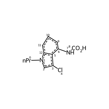 CCCn1cc(Cl)c2c(NC(=O)O)cccc21